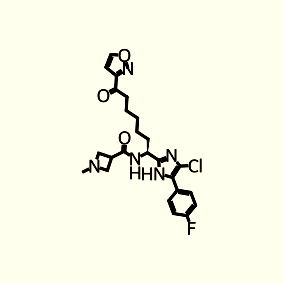 CN1CC(C(=O)N[C@@H](CCCCCC(=O)c2ccon2)c2nc(Cl)c(-c3ccc(F)cc3)[nH]2)C1